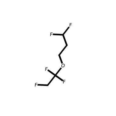 FCC(F)(F)OCCC(F)F